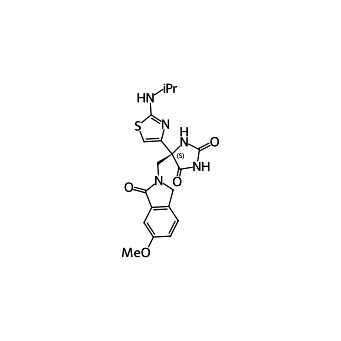 COc1ccc2c(c1)C(=O)N(C[C@@]1(c3csc(NC(C)C)n3)NC(=O)NC1=O)C2